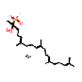 CC(C)=CCCC(C)=CCCC(C)=CCCC(C)=CCCC(C)(O)S(=O)(=O)[O-].[Na+]